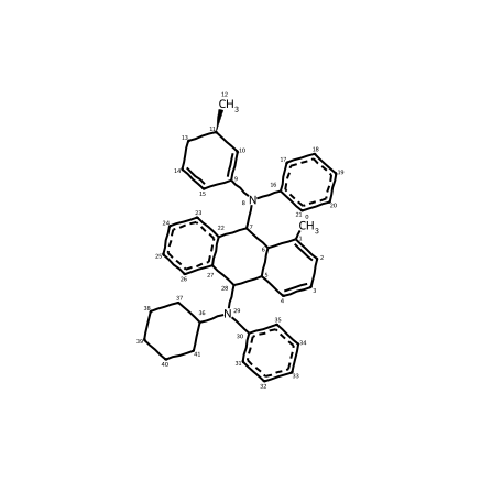 CC1=CC=CC2C1C(N(C1=C[C@H](C)CC=C1)c1ccccc1)c1ccccc1C2N(c1ccccc1)C1CCCCC1